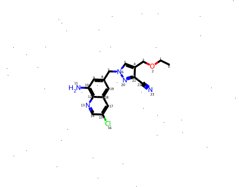 CCOCc1cn(Cc2cc(N)c3ncc(Cl)cc3c2)nc1C#N